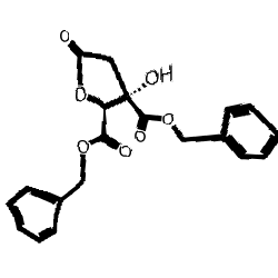 O=C1C[C@@](O)(C(=O)OCc2ccccc2)[C@@H](C(=O)OCc2ccccc2)O1